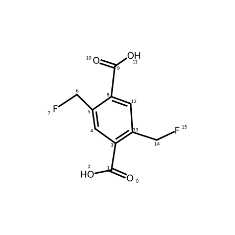 O=C(O)c1cc(CF)c(C(=O)O)cc1CF